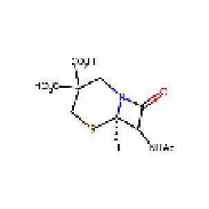 CC(=O)NC1C(=O)N2CC(C(=O)O)(C(=O)O)CS[C@H]12